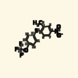 Cc1cc([N+](=O)[O-])ccc1Sc1ccc(OC(F)(F)F)cc1